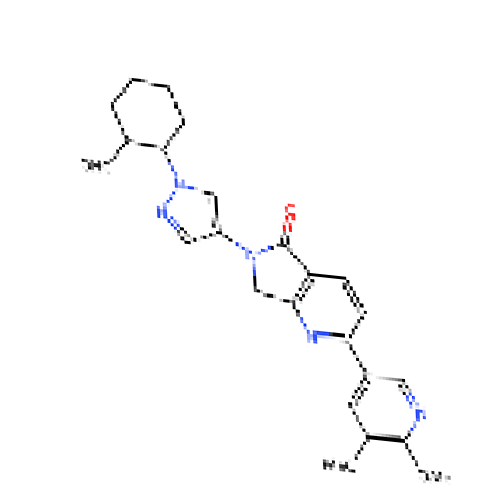 COc1cc(-c2ccc3c(n2)CN(c2cnn(C4CCCCC4C=O)c2)C3=O)cnc1OC